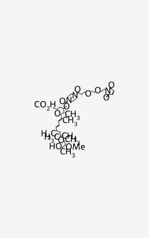 CO[C@@H]([C@@H](C)O)[C@@H](C)OC(C)(C)C[C@H](C)/C=C/C=C(\C)[C@H]1O[C@@H](CC(=O)O)C[C@@H](OC(=O)N2CCN(C(=O)CCOCCOCCN3C(=O)C=CC3=O)CC2)[C@@H]1C